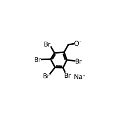 [Na+].[O-]Cc1c(Br)c(Br)c(Br)c(Br)c1Br